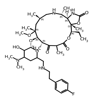 CC[C@H]1OC(=O)C(C)C(=O)[C@H](C)[C@@H](O[C@@H]2OC(CNCCc3ccc(F)cc3)CC(N(C)C)C2O)[C@](C)(OC)C[C@@H](C)CN[C@H](C)[C@H]2NC(=O)O[C@@]21C